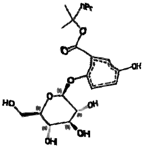 CCCC(C)(C)OC(=O)c1cc(O)ccc1O[C@@H]1O[C@H](CO)[C@@H](O)[C@H](O)[C@H]1O